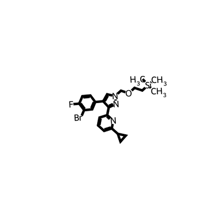 C[Si](C)(C)CCOCn1cc(-c2ccc(F)c(Br)c2)c(-c2cccc(C3CC3)n2)n1